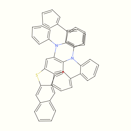 c1ccc(-c2ccccc2N(c2ccccc2)c2cc3sc4cc5ccccc5cc4c3cc2N(c2ccccc2)c2ccccc2-c2ccccc2)cc1